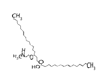 CCCCCC/C=C/CCCCCCCC(O)OCCC(CCCCCCC/C=C/CCCCCC)OCCNC